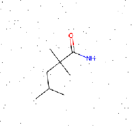 CC(C)CC(C)(C)C([NH])=O